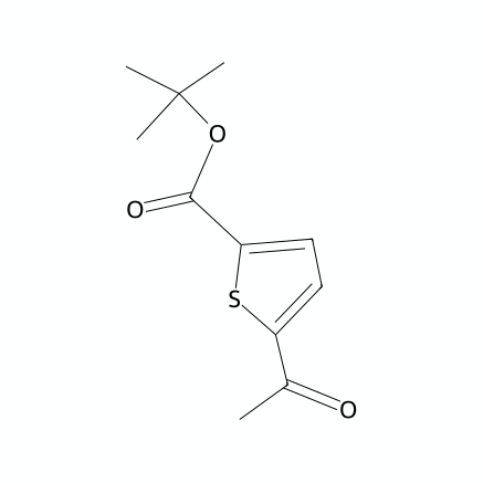 CC(=O)c1ccc(C(=O)OC(C)(C)C)s1